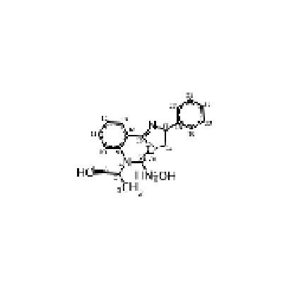 C#CC(C)N(C(=O)NO)c1ccccc1C1=NC(c2ccccc2)CO1